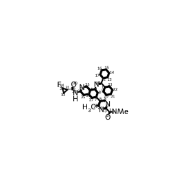 CNC(=O)c1ncc(-c2cc(N=C(c3ccccc3)c3ccccc3)c3cnc(NC(=O)[C@@H]4C[C@@H]4F)cc3c2)c(C)n1